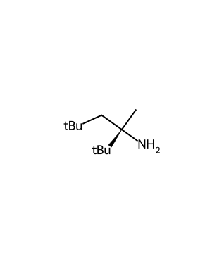 CC(C)(C)C[C@](C)(N)C(C)(C)C